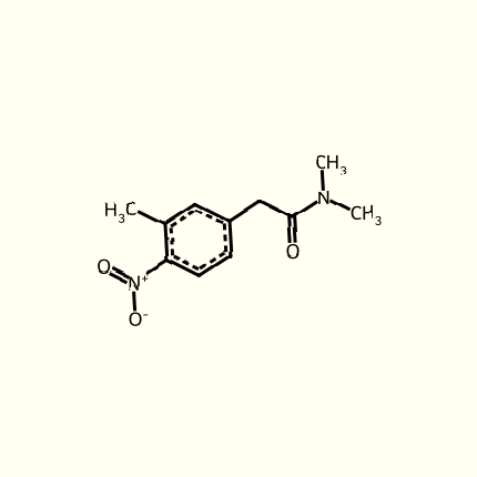 Cc1cc(CC(=O)N(C)C)ccc1[N+](=O)[O-]